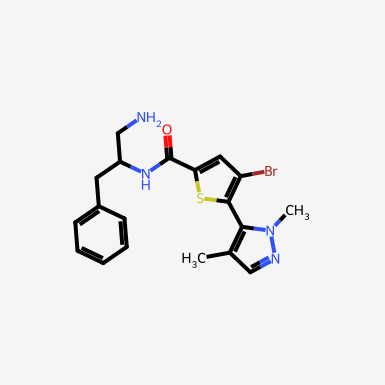 Cc1cnn(C)c1-c1sc(C(=O)NC(CN)Cc2ccccc2)cc1Br